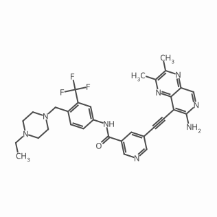 CCN1CCN(Cc2ccc(NC(=O)c3cncc(C#Cc4c(N)ncc5nc(C)c(C)nc45)c3)cc2C(F)(F)F)CC1